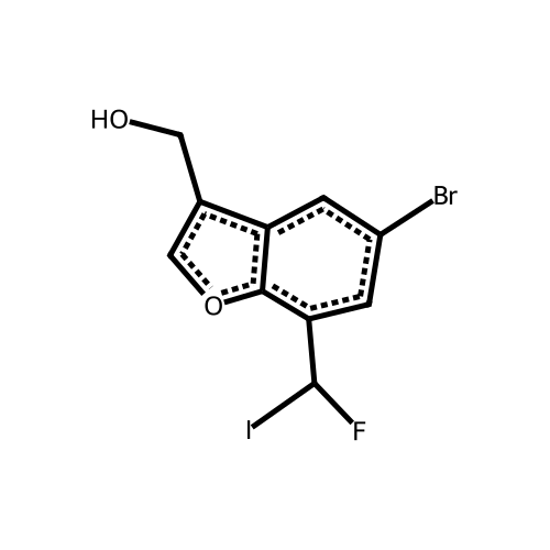 OCc1coc2c(C(F)I)cc(Br)cc12